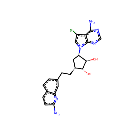 Nc1ccc2ccc(CC[C@H]3C[C@@H](n4cc(Br)c5c(N)ncnc54)[C@H](O)[C@@H]3O)cc2n1